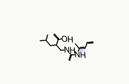 C=C/C=C(\C)NC(=C)NCC(CC(C)C)C(=C)O